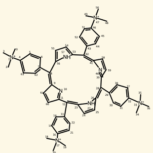 C[N+](C)(C)c1ccc(-c2c3nc(c(-c4ccc([N+](C)(C)C)cc4)c4ccc([nH]4)c(-c4ccc([N+](C)(C)C)cc4)c4nc(c(-c5ccc([N+](C)(C)C)cc5)c5ccc2[nH]5)C=C4)C=C3)cc1